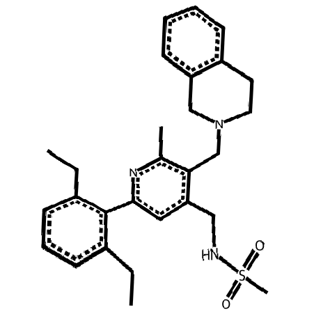 CCc1cccc(CC)c1-c1cc(CNS(C)(=O)=O)c(CN2CCc3ccccc3C2)c(C)n1